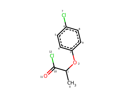 CC(Oc1ccc(Cl)cc1)C(=O)Cl